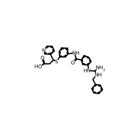 NC(NCc1ccccc1)Nc1cccc(C(=O)Nc2cccc(SC(CC(=O)O)c3cccnc3)c2)c1